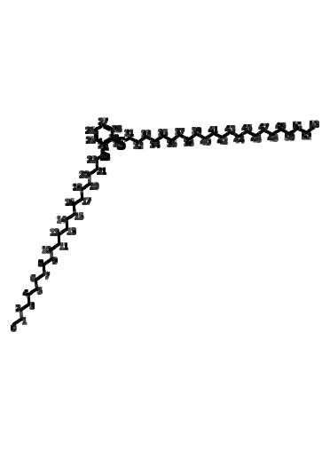 CCCCCCCCCCCCCCCCCCCCCCCSc1[c]cccc1SCCCCCCCCCCCCCCCCCCCCCCC